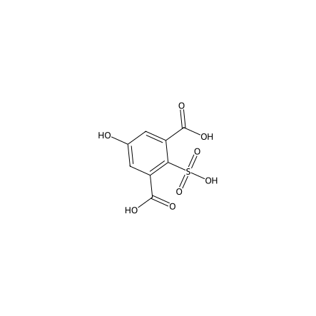 O=C(O)c1cc(O)cc(C(=O)O)c1S(=O)(=O)O